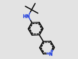 CC(C)(C)Nc1ccc(-c2ccncc2)cc1